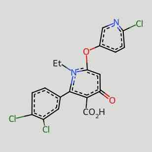 CCn1c(Oc2ccc(Cl)nc2)cc(=O)c(C(=O)O)c1-c1ccc(Cl)c(Cl)c1